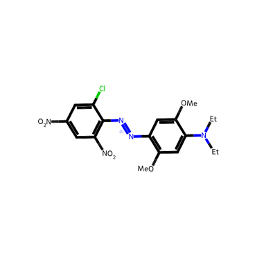 CCN(CC)c1cc(OC)c(/N=N/c2c(Cl)cc([N+](=O)[O-])cc2[N+](=O)[O-])cc1OC